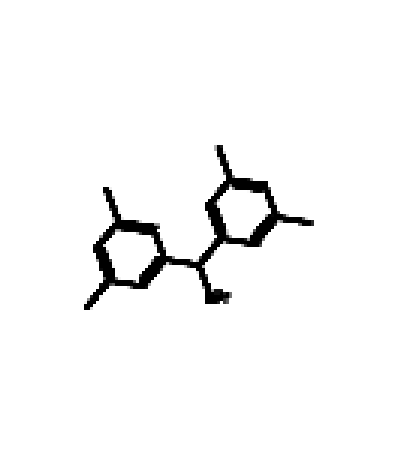 CCCC(c1[c]c(C)cc(C)c1)c1[c]c(C)cc(C)c1